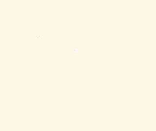 COC(=O)/C=C/c1ccccc1S(=O)(=O)Cl